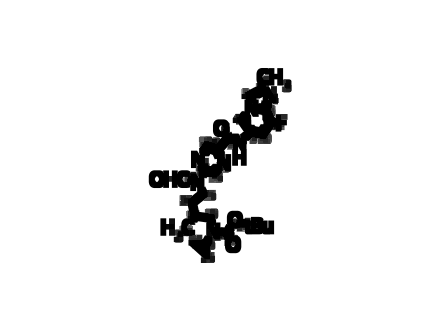 Cc1cn2cc(NC(=O)c3cnc(N(C=O)CCC(C)CN(C(=O)OC(C)(C)C)C4CC4)cn3)cc(F)c2n1